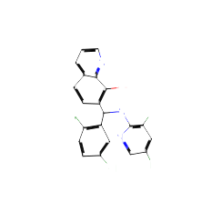 Oc1c(C(Nc2ncc(F)cc2F)c2cc(Cl)ccc2Cl)ccc2cccnc12